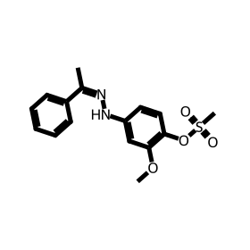 COc1cc(NN=C(C)c2ccccc2)ccc1OS(C)(=O)=O